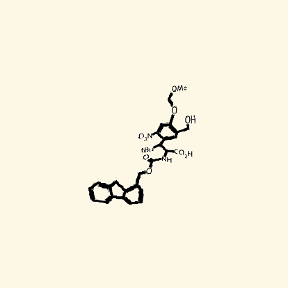 COCOc1cc([N+](=O)[O-])c(C(C(NC(=O)OCc2cccc3c2Cc2ccccc2-3)C(=O)O)C(C)(C)C)cc1CO